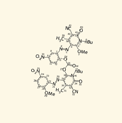 CCCCn1c(OC)c(N=Nc2cc([N+](=O)[O-])ccc2OC(=O)Oc2c(N=Nc3cc([N+](=O)[O-])ccc3OC)c(C)c(C#N)c(=O)n2CCCC)c(C)c(C#N)c1=O